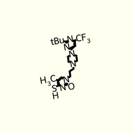 Cc1cn(CCCN2CCN(c3cc(C(F)(F)F)nc(C(C)(C)C)n3)CC2)c(=O)nc1S